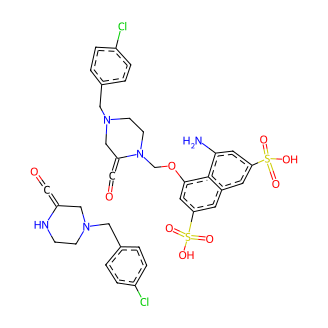 Nc1cc(S(=O)(=O)O)cc2cc(S(=O)(=O)O)cc(OCN3CCN(Cc4ccc(Cl)cc4)CC3=C=O)c12.O=C=C1CN(Cc2ccc(Cl)cc2)CCN1